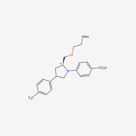 COCCOC[C@@H]1CC(c2ccc(C(F)(F)F)cc2)CN1c1ccc(C(=O)O)cc1